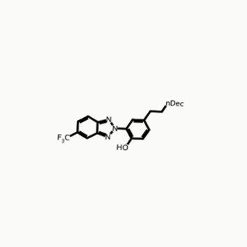 CCCCCCCCCCCCc1ccc(O)c(-n2nc3ccc(C(F)(F)F)cc3n2)c1